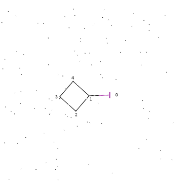 IC1C[CH]C1